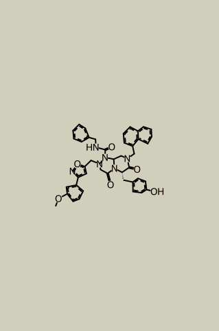 COc1cccc(-c2cc(CN3CC(=O)N4C(CN(Cc5cccc6ccccc56)C(=O)[C@@H]4Cc4ccc(O)cc4)N3C(=O)NCc3ccccc3)on2)c1